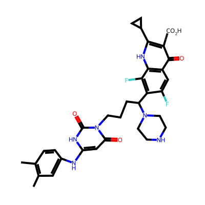 Cc1ccc(Nc2cc(=O)n(CCCC(c3c(F)cc4c(=O)c(C(=O)O)c(C5CC5)[nH]c4c3F)N3CCNCC3)c(=O)[nH]2)cc1C